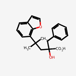 CC(C)(CC(O)(Cc1ccccc1)C(=O)O)c1cccc2ccoc12